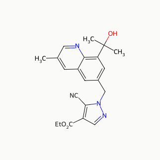 CCOC(=O)c1cnn(Cc2cc(C(C)(C)O)c3ncc(C)cc3c2)c1C#N